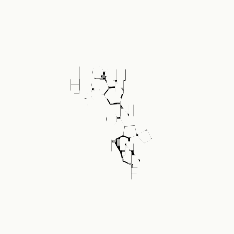 CC(C)(O)c1ncc(NC(=O)C2CC3(CCC3)c3c2cnc2cc(F)nn32)cc1C(F)(F)F